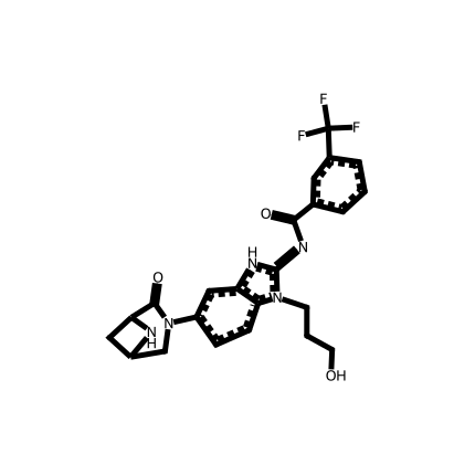 O=C(/N=c1\[nH]c2cc(N3CC4CC(N4)C3=O)ccc2n1CCCO)c1cccc(C(F)(F)F)c1